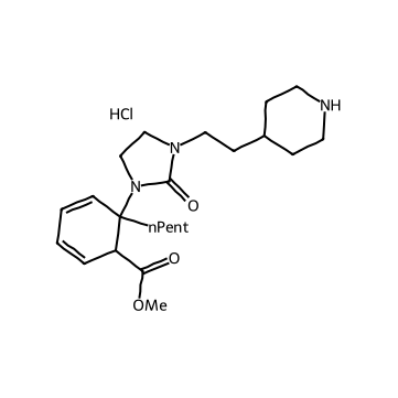 CCCCCC1(N2CCN(CCC3CCNCC3)C2=O)C=CC=CC1C(=O)OC.Cl